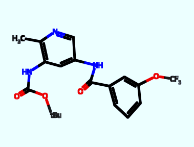 Cc1ncc(NC(=O)c2cccc(OC(F)(F)F)c2)cc1NC(=O)OC(C)(C)C